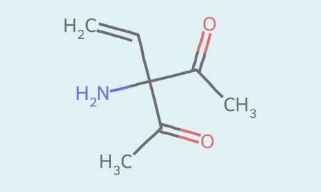 C=CC(N)(C(C)=O)C(C)=O